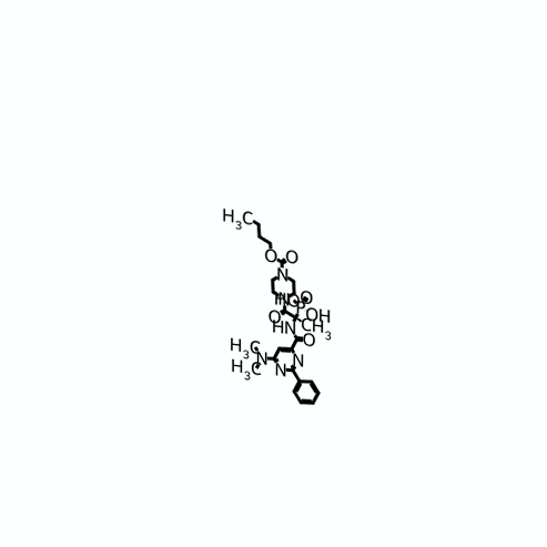 CCCCOC(=O)N1CCN(C(=O)[C@@](C)(NC(=O)c2cc(N(C)C)nc(-c3ccccc3)n2)P(=O)(O)O)CC1